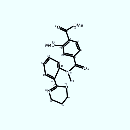 COC(=O)c1ccc(C(=O)N(C)c2ccccc2C2=NCCCO2)cc1OC